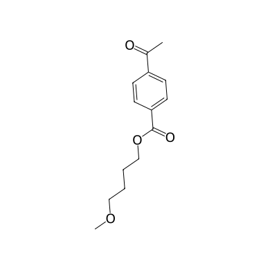 COCCCCOC(=O)c1ccc(C(C)=O)cc1